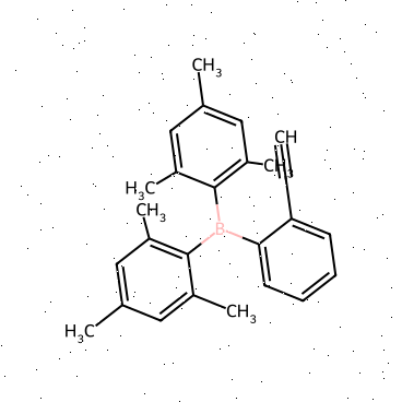 C#Cc1ccccc1B(c1c(C)cc(C)cc1C)c1c(C)cc(C)cc1C